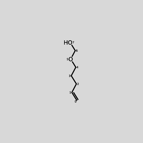 C=CCCCOCO